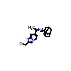 C=C(NCC12CC3CC(CC(C3)C1)C2)c1ccn2cc(CCl)nc2c1